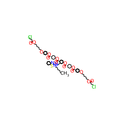 CCCCCCN(/N=C/c1cc(OC(=O)[C@H]2CC[C@H](OC(=O)c3ccc(OCCCCCCOC(=O)CCCl)cc3)CC2)ccc1C(=O)O[C@H]1CC[C@H](C(=O)Oc2ccc(OCCCCCCOC(=O)CCCl)cc2)CC1)c1nc2ccccc2s1